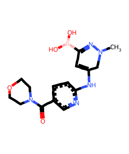 CN1CC(Nc2ccc(C(=O)N3CCOCC3)cn2)=CC(B(O)O)=N1